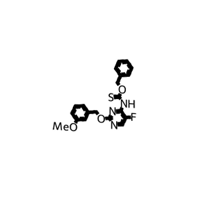 COc1cccc(COc2ncc(F)c(NC(=S)OCc3ccccc3)n2)c1